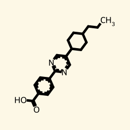 CCCC1CCC(c2cnc(-c3ccc(C(=O)O)cc3)nc2)CC1